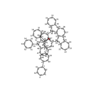 c1ccc(-c2ccc(-c3cc(-c4ccccc4)nc(-n4c5ccccc5c5ccc6c7ccccc7n(-c7ccc8c(c7)c7ccccc7n8-c7ccccc7)c6c54)c3)cc2)cc1